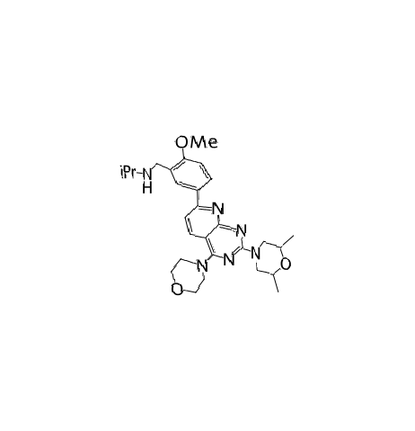 COc1ccc(-c2ccc3c(N4CCOCC4)nc(N4CC(C)OC(C)C4)nc3n2)cc1CNC(C)C